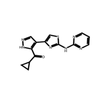 O=C(c1[nH]ncc1-c1csc(Nc2ncccn2)n1)C1CC1